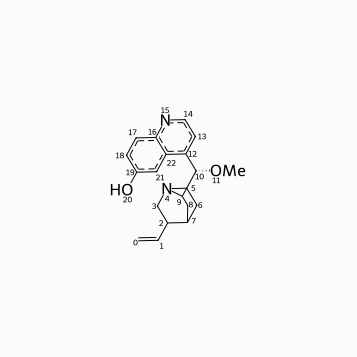 C=CC1CN2CCC1CC2[C@@H](OC)c1ccnc2ccc(O)cc12